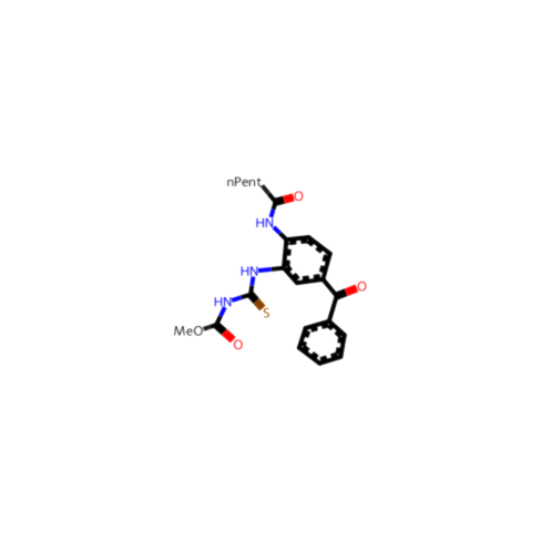 CCCCCC(=O)Nc1ccc(C(=O)c2ccccc2)cc1NC(=S)NC(=O)OC